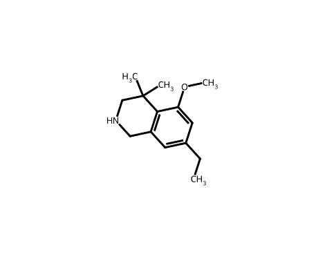 CCc1cc2c(c(OC)c1)C(C)(C)CNC2